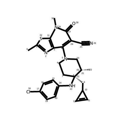 Cc1nc2c(N3CC[C@](CC4C=C4)(Nc4ccc(Cl)cc4)[C@@H](C)C3)c(C#N)c(=O)n(C)c2s1